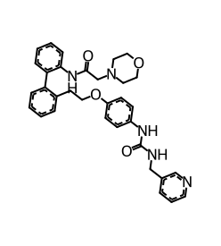 O=C(CN1CCOCC1)Nc1ccccc1-c1ccccc1CCOc1ccc(NC(=O)NCc2cccnc2)cc1